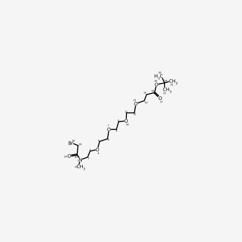 CN(CCOCCOCCOCCOCCC(=O)OC(C)(C)C)C(=O)CBr